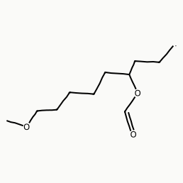 [CH2]CCC(CCCCCOC)OC=O